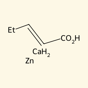 CCC=CC(=O)O.[CaH2].[Zn]